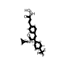 O=C(C=Cc1ccc(C=C(C(=O)NC2CC2)c2ccc(C(F)(F)F)cc2)cc1)NO